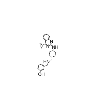 CN(C)c1nc(N[C@H]2CC[C@@H](CNCc3cccc(O)c3)CC2)nc2ccccc12